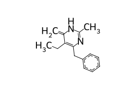 C=C1NC(C)=NC(Cc2ccccc2)=C1CC